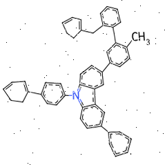 Cc1ccc(-c2ccc3c(c2)c2cc(-c4ccccc4)ccc2n3-c2ccc(C3=CC=CCC3)cc2)cc1-c1ccccc1CC1=CC=CCC1